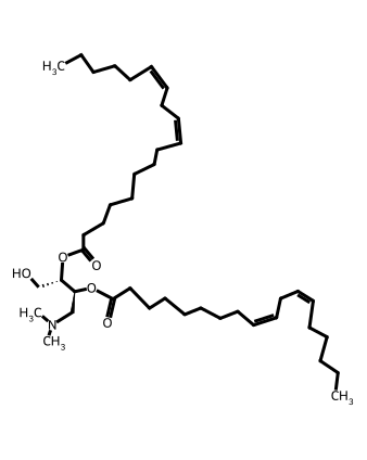 CCCCC/C=C\C/C=C\CCCCCCCC(=O)O[C@@H](CO)[C@H](CN(C)C)OC(=O)CCCCCCC/C=C\C/C=C\CCCCC